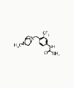 CN1CC2CC1CN2Cc1ccc(NC(N)=O)cc1C(F)(F)F